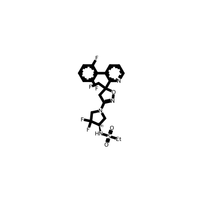 CCS(=O)(=O)N[C@@H]1CN(C2=NOC(CF)(c3ncccc3-c3c(F)cccc3F)C2)CC1(F)F